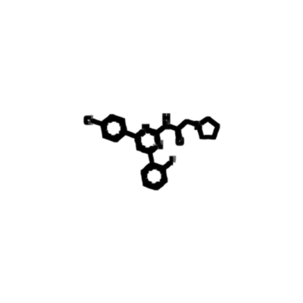 O=C(CN1CCCC1)Nc1nc(-c2ccc(Cl)cc2)cc(-c2ccccc2F)n1